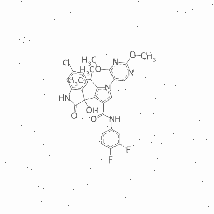 COc1ncc(-n2cc(C(=O)Nc3ccc(F)c(F)c3)c(C3(O)C(=O)Nc4cc(Cl)ccc43)c2C(C)C)c(OC)n1